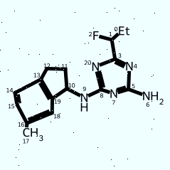 CCC(F)c1nc(N)nc(NC2CCc3ccc(C)cc32)n1